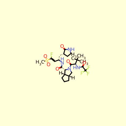 CC(C)(C)[C@@H](NC(=O)C(F)(F)F)C(=O)N1C[C@@H]2CCC[C@@H]2[C@@H]1C(=O)N[C@H](/C=C(\F)S(C)(=O)=O)C[C@H]1CCNC1=O